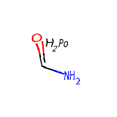 NC=O.[PoH2]